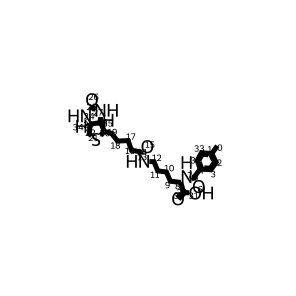 Cc1ccc(C(=O)NC(CCCCNC(=O)CCCCC2SC[C@@H]3NC(=O)N[C@H]23)C(=O)O)cc1